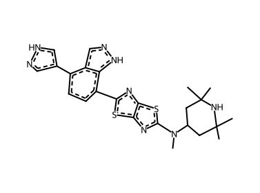 CN(c1nc2sc(-c3ccc(-c4cn[nH]c4)c4cn[nH]c34)nc2s1)C1CC(C)(C)NC(C)(C)C1